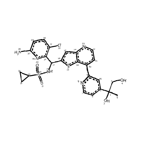 CC(O)(CO)c1ccnc(-c2ccnc3cc(C(NS(=O)(=O)C4CC4)c4nc(N)ccc4Cl)sc23)c1